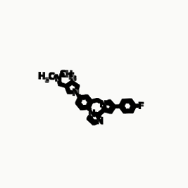 CN(C)CC1CN(c2ccc3c(c2)Cn2cc(-c4ccc(F)cc4)cc2-c2nccn2-3)C[C@H]1F